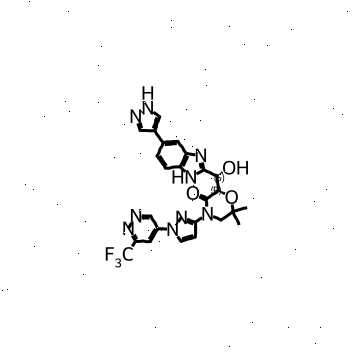 CC1(C)CN(c2ccn(-c3cnnc(C(F)(F)F)c3)n2)C(=O)[C@@H]([C@@H](O)c2nc3cc(-c4cn[nH]c4)ccc3[nH]2)O1